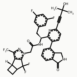 CC(C)(O)C#Cc1ccc(-c2cccc3c2CNC3=O)c([C@H](Cc2cc(F)cc(F)c2)NC(=O)Cn2nc(C(F)(F)F)c3c2C(F)(F)C2CC[C@H]32)n1